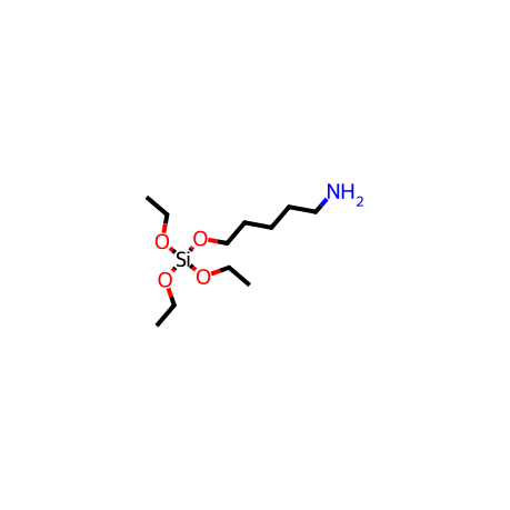 CCO[Si](OCC)(OCC)OCCCCCN